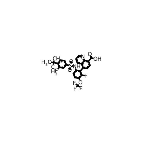 CC(C)(C)c1ccc(S(=O)(=O)Nc2ccc(OC(F)(F)F)c(F)c2-c2ccc(C(=O)O)c3ncccc23)cc1F